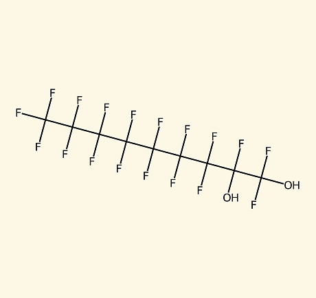 OC(F)(F)C(O)(F)C(F)(F)C(F)(F)C(F)(F)C(F)(F)C(F)(F)C(F)(F)C(F)(F)F